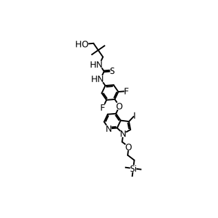 CC(C)(CO)CNC(=S)Nc1cc(F)c(Oc2ccnc3c2c(I)cn3COCC[Si](C)(C)C)c(F)c1